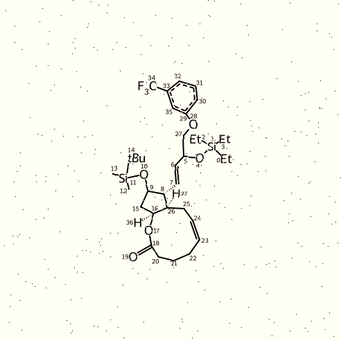 CC[Si](CC)(CC)OC(C=C[C@H]1C(O[Si](C)(C)C(C)(C)C)C[C@@H]2OC(=O)CCCC=CC[C@@H]21)COc1cccc(C(F)(F)F)c1